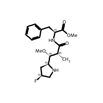 COC(=O)[C@H](Cc1ccccc1)NC(=O)[C@H](C)[C@@H](OC)[C@@H]1C[C@H](F)CN1